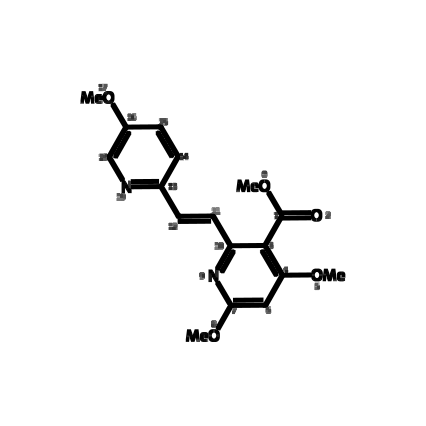 COC(=O)c1c(OC)cc(OC)nc1/C=C/c1ccc(OC)cn1